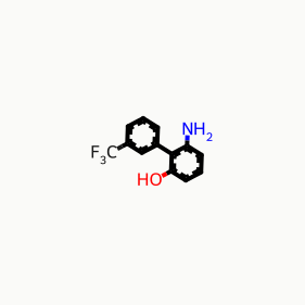 Nc1cccc(O)c1-c1cccc(C(F)(F)F)c1